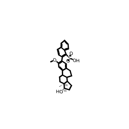 COc1cc2c(cc1-c1ccc3ccccc3c1S(=O)(=O)O)CCC1C2CC[C@@]2(C)C1CC[C@@H]2O